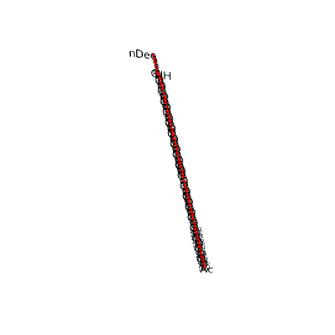 CCCCCCCCCCCCCCCCCCCC(=O)NCCOCCOCCOCCOCCOCCOCCOCCOCCOCCOCCOCCOCCOCCOCCOCCOCCOCCOCCOCCOCCOCCOCCOCCOCCOCCOCCOCCOCCOCCOCCOCCOCCOCCOCCOCCOCCC(C)=O